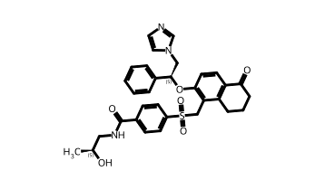 C[C@H](O)CNC(=O)c1ccc(S(=O)(=O)Cc2c(O[C@H](Cn3ccnc3)c3ccccc3)ccc3c2CCCC3=O)cc1